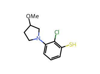 COC1CCN(c2cccc(S)c2Cl)C1